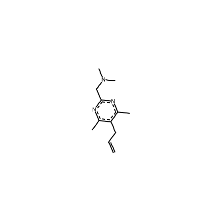 C=CCc1c(C)nc(CN(C)C)nc1C